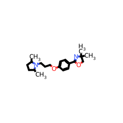 CC1CCC(C)N1CCCOc1ccc(C2=NC(C)(C)CO2)cc1